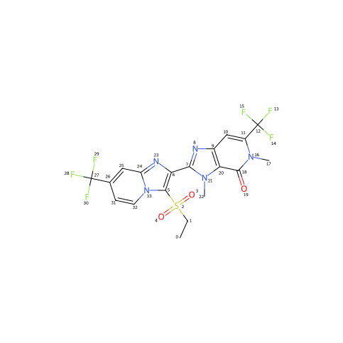 CCS(=O)(=O)c1c(-c2nc3cc(C(F)(F)F)n(C)c(=O)c3n2C)nc2cc(C(F)(F)F)ccn12